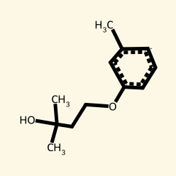 Cc1[c]ccc(OCCC(C)(C)O)c1